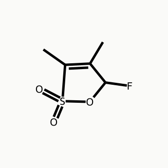 CC1=C(C)S(=O)(=O)OC1F